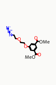 COC(=O)c1cc(OCCOCCN=[N+]=[N-])cc(C(=O)OC)c1